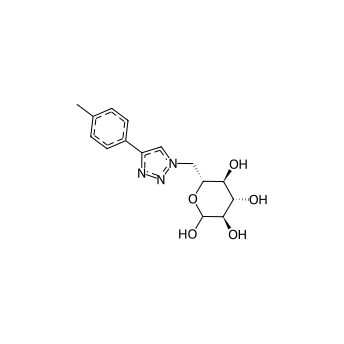 Cc1ccc(-c2cn(C[C@H]3OC(O)[C@H](O)[C@@H](O)[C@@H]3O)nn2)cc1